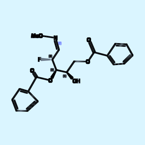 CO/N=C\[C@@H](F)[C@H](OC(=O)c1ccccc1)[C@H](O)COC(=O)c1ccccc1